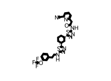 N#Cc1cccc(CC(=O)Nc2nnc([C@H]3CCC[C@H](c4nnc(NCCc5cccc(OC(F)(F)F)c5)s4)C3)s2)n1